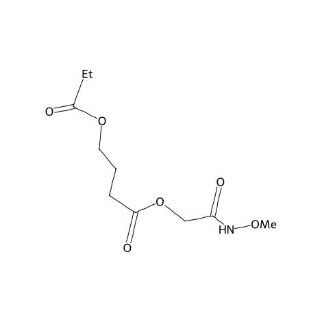 CCC(=O)OCCCC(=O)OCC(=O)NOC